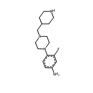 Nc1ccc(N2CCN(CC3CCNCC3)CC2)c(F)c1